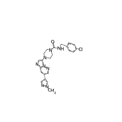 Cn1cc(-c2cnn3c(N4CCN(C(=O)NCc5ccc(Cl)cc5)CC4)cnc3c2)cn1